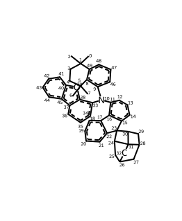 CC1(C)CCC(C)(C)c2c(N(c3cccc4c3-c3ccccc3C43C4CC5CC6CC3C64C5)c3cccc4c3oc3ccccc34)cccc21